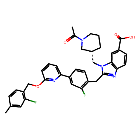 CC(=O)N1CCC[C@H](Cn2c(Cc3ccc(-c4cccc(OCc5ccc(C)cc5F)n4)cc3F)nc3ccc(C(=O)O)cc32)C1